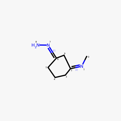 C/N=C1/CCC/C(=N\N)C1